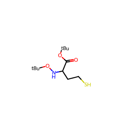 CC(C)(C)ONC(CCS)C(=O)OC(C)(C)C